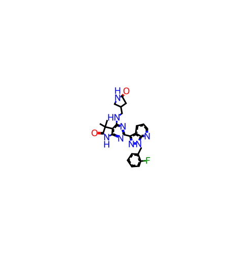 CC1(C)C(=O)Nc2nc(-c3nn(Cc4ccccc4F)c4ncccc34)nc(NCC3CNC(=O)C3)c21